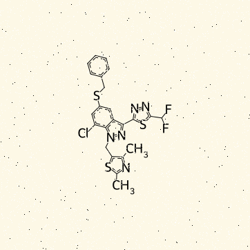 Cc1nc(C)c(Cn2nc(-c3nnc(C(F)F)s3)c3cc(SCc4ccccc4)cc(Cl)c32)s1